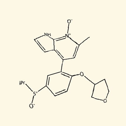 Cc1cc(-c2cc([S+]([O-])C(C)C)ccc2OC2CCOC2)c2cc[nH]c2[n+]1[O-]